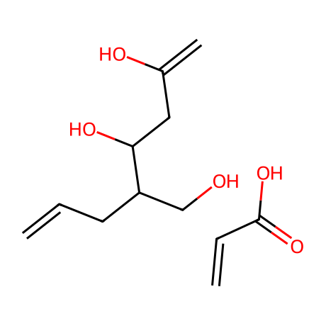 C=CC(=O)O.C=CCC(CO)C(O)CC(=C)O